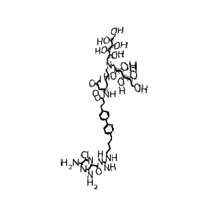 N=C(NCCCCc1ccc(-c2ccc(CCC(=O)N[C@H](CCCCN(C[C@H](O)[C@@H](O)[C@H](O)[C@H](O)CO)C[C@H](O)[C@@H](O)[C@H](O)[C@H](O)CO)C(=O)C(=O)I)cc2)cc1)NC(=O)c1nc(Cl)c(N)nc1N